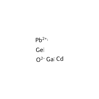 [Cd].[Ga].[Ge].[O-2].[Pb+2]